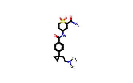 CN(C)CCC1(c2ccc(C(=O)NC3[CH]C(C(N)=O)S(=O)(=O)CC3)cc2)CC1